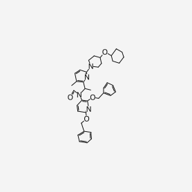 Cc1ccc(N2CCC(OC3CCCCC3)CC2)nc1C(C)N(C=O)c1ccc(OCc2ccccc2)nc1OCc1ccccc1